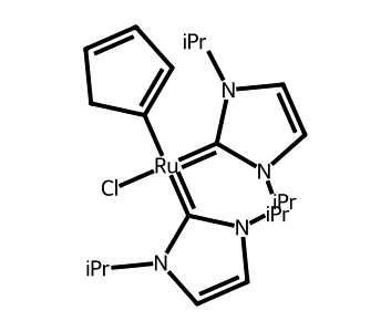 CC(C)n1ccn(C(C)C)[c]1=[Ru]([Cl])([C]1=CC=CC1)=[c]1n(C(C)C)ccn1C(C)C